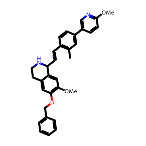 COc1ccc(-c2ccc(/C=C/C3NCCc4cc(OCc5ccccc5)c(OC)cc43)c(C)c2)cn1